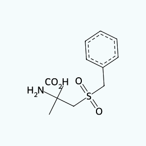 CC(N)(CS(=O)(=O)Cc1ccccc1)C(=O)O